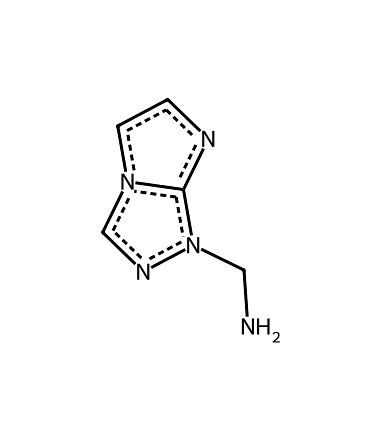 NCn1ncn2ccnc12